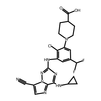 N#Cc1cnc2c(NC3CC3)nc(Nc3cc(C(F)F)cc(N4CCC(C(=O)O)CC4)c3Cl)nn12